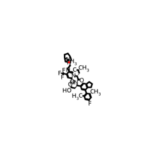 Cc1cc(F)cc(C)c1-c1cc([C@@H](CC(=O)O)NC(=O)[C@@H](CC(C)C)n2cc(CCN3CC4CCC(C3)N4C)c(C(F)(F)F)cc2=O)cc2c1CCC2